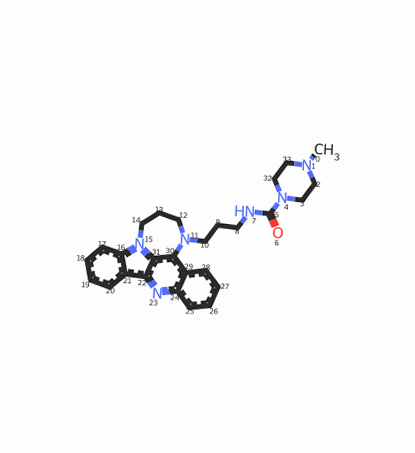 CN1CCN(C(=O)NCCCN2CCCn3c4ccccc4c4nc5ccccc5c2c43)CC1